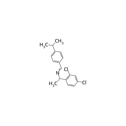 CC(C)c1ccc(C=NC(C)c2ccc(Cl)cc2Cl)cc1